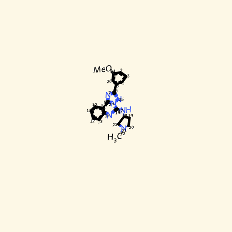 COc1cccc(-c2nc3c4ccccc4nc(N[C@H]4CCN(C)C4)n3n2)c1